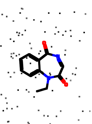 CCn1c(=O)cnc(=O)c2ccccc21